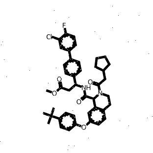 COC(=O)CC(NC(=O)C1c2cc(Oc3ccc(C(C)(C)C)cc3)ccc2CCN1C(=O)CC1CCCC1)c1ccc(-c2ccc(F)c(Cl)c2)cc1